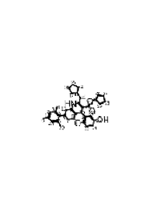 Cc1cc(C)c(C2CC(=O)C3=C(C2)NC(CC2CCCC2)=C(C(=O)OC2CCCC2)C3c2cccc(O)c2)c(C)c1